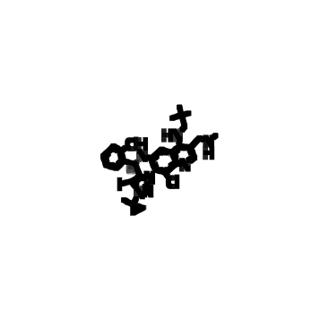 CNCc1cnc2c(Cl)cc(N[C@@H](c3ccccc3Cl)c3nnn(C4(C)CC4)c3I)cc2c1NCC(C)(C)C